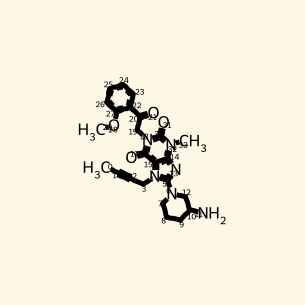 CC#CCn1c(N2CCCC(N)C2)nc2c1c(=O)n(CC(=O)c1ccccc1OC)c(=O)n2C